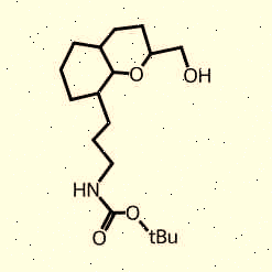 CC(C)(C)OC(=O)NCCCC1CCCC2CCC(CO)OC12